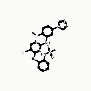 COc1ccc(-n2cnnc2)cc1Nc1ncc(Cl)c(Nc2ccccc2NS(C)(=O)=O)n1